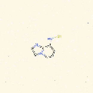 SNc1cccn2ccnc12